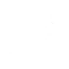 CCCCCC(SC)C(=O)N(C)C=NO